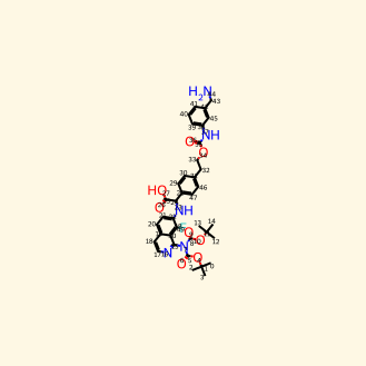 CC(C)(C)OC(=O)N(C(=O)OC(C)(C)C)c1nccc2ccc(NC(C(=O)O)c3ccc(CCOC(=O)Nc4cccc(CN)c4)cc3)c(F)c12